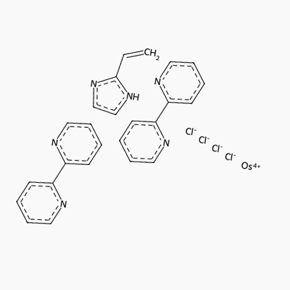 C=Cc1ncc[nH]1.[Cl-].[Cl-].[Cl-].[Cl-].[Os+4].c1ccc(-c2ccccn2)nc1.c1ccc(-c2ccccn2)nc1